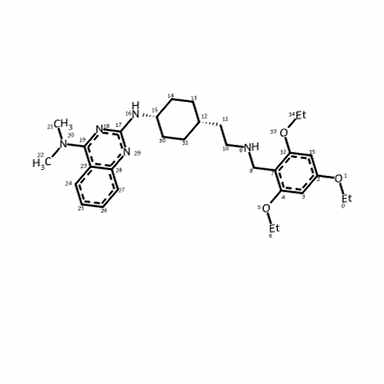 CCOc1cc(OCC)c(CNCC[C@H]2CC[C@@H](Nc3nc(N(C)C)c4ccccc4n3)CC2)c(OCC)c1